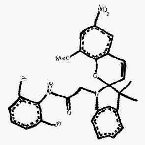 COc1cc([N+](=O)[O-])cc2c1OC1(C=C2)N(CC(=O)Nc2c(C(C)C)cccc2C(C)C)c2ccccc2C1(C)C